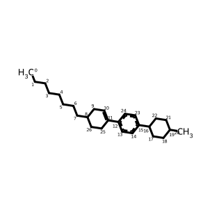 CCCCCCCCC1CC=C(c2ccc(C3CCC(C)CC3)cc2)CC1